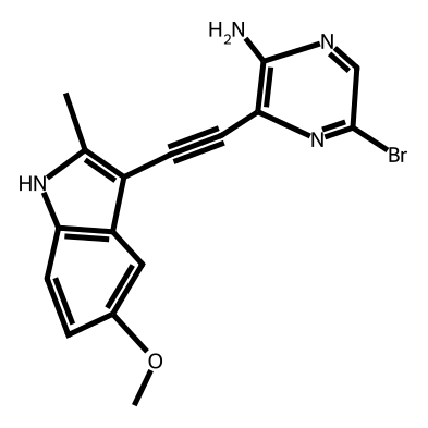 COc1ccc2[nH]c(C)c(C#Cc3nc(Br)cnc3N)c2c1